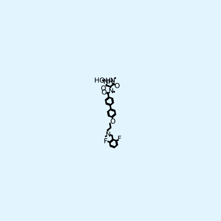 CNC(=O)C(C(=O)NO)N(C)C(=O)c1ccc(-c2ccc(OCCCN(C)Cc3c(F)cccc3F)cc2)cc1